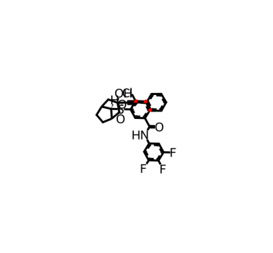 O=C(Nc1cc(F)c(F)c(F)c1)c1ccc(Cl)c(S(=O)(=O)[C@H]2C3CCC2C[C@](O)(C#Cc2ccccc2)C3)c1